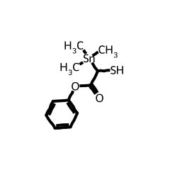 [CH3][Sn]([CH3])([CH3])[CH](S)C(=O)Oc1ccccc1